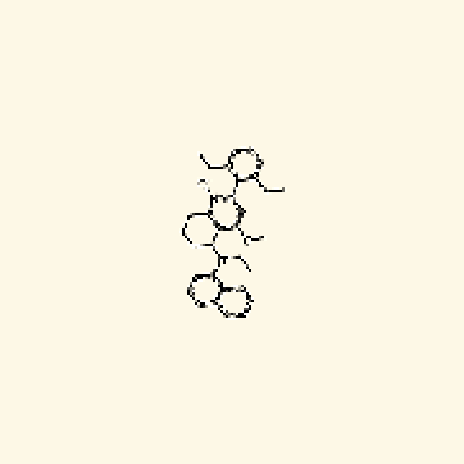 CCc1cccc(CC)c1-c1cc(OC)c2c([n+]1[O-])CCCC2N(CC)c1cccc2ccccc12